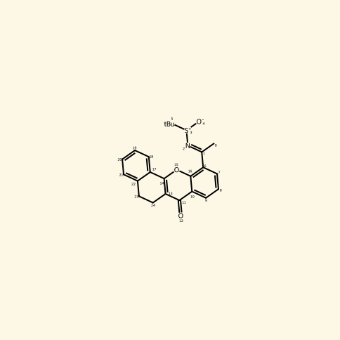 CC(=N[S+]([O-])C(C)(C)C)c1cccc2c(=O)c3c(oc12)-c1ccccc1CC3